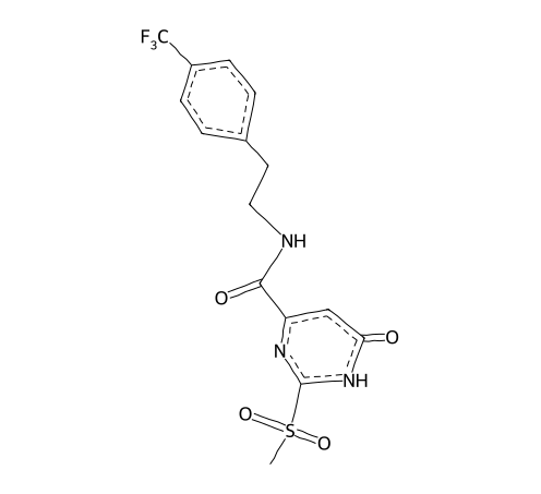 CS(=O)(=O)c1nc(C(=O)NCCc2ccc(C(F)(F)F)cc2)cc(=O)[nH]1